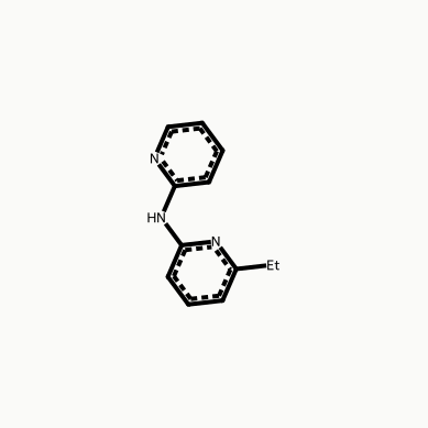 CCc1cccc(Nc2ccccn2)n1